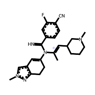 C/C(=C\C1CCCN(C)C1)N(C(=N)c1ccc(C#N)c(F)c1)C1=Cc2cn(C)nc2CC1